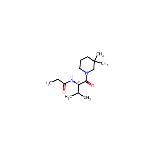 CCC(=O)N[C@@H](C(=O)N1CCCC(C)(C)C1)C(C)C